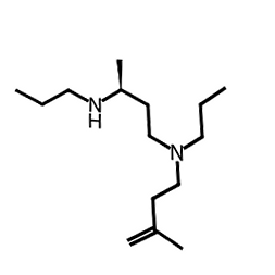 C=C(C)CCN(CCC)CC[C@H](C)NCCC